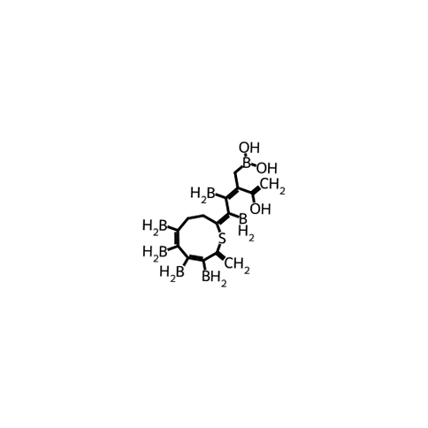 B/C1=C(B)/C(B)=C(/B)C(=C)S/C(=C(B)/C(B)=C(/CB(O)O)C(=C)O)CC1